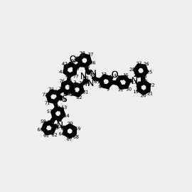 c1ccc(-c2nc(-c3ccc4c(c3)oc3cc(-n5c6ccccc6c6ccccc65)ccc34)nc(-c3cccc4oc5ccc(-c6ccc7sc8c(-c9ccc%10c(c9)c9ccccc9n%10-c9ccccc9)cccc8c7c6)cc5c34)n2)cc1